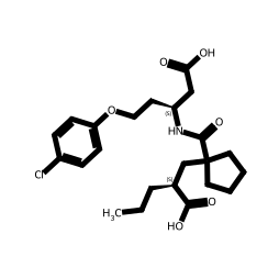 CCC[C@@H](CC1(C(=O)N[C@@H](CCOc2ccc(Cl)cc2)CC(=O)O)CCCC1)C(=O)O